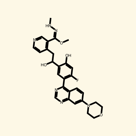 CN/N=C(/OC)c1cnccc1CC(O)c1cc(-c2ncnc3cc(N4CCOCC4)ccc23)c(F)cc1O